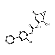 O=C(NC1=CC(=O)C2OC2C1O)Oc1cnc(-c2ccccc2)nc1O